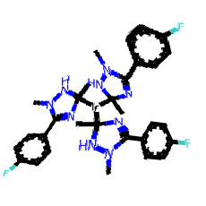 CN1N[C](C)([Ir]([C]2(C)N=C(c3ccc(F)cc3)N(C)N2)[C]2(C)N=C(c3ccc(F)cc3)N(C)N2)N=C1c1ccc(F)cc1